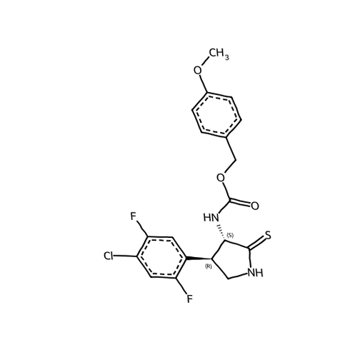 COc1ccc(COC(=O)N[C@@H]2C(=S)NC[C@H]2c2cc(F)c(Cl)cc2F)cc1